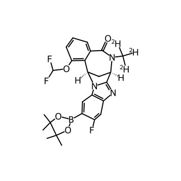 [2H]C([2H])([2H])N1C(=O)c2cccc(OC(F)F)c2[C@H]2C[C@@H]1c1nc3cc(F)c(B4OC(C)(C)C(C)(C)O4)cc3n12